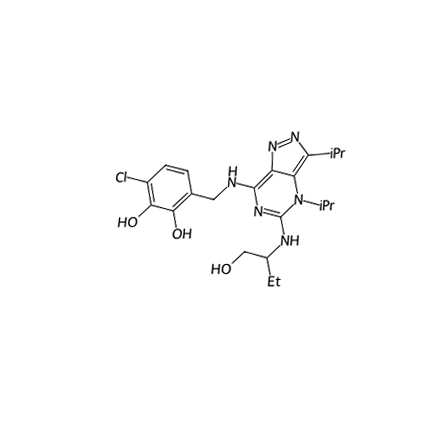 CCC(CO)Nc1nc(NCc2ccc(Cl)c(O)c2O)c2nnc(C(C)C)c-2n1C(C)C